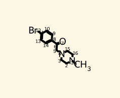 CN1CCN(CC(=O)c2ccc(Br)cc2)CC1